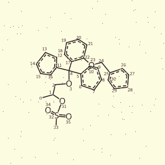 CC(COC(c1ccccc1)(c1ccccc1)c1ccccc1OCc1ccccc1)OS(C)(=O)=O